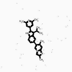 Cc1cc(-c2[nH]c3ccc(-c4cn5cc(C)nc5cc4C)cc3c2C(C)C)cc(C)n1